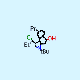 CC[C@@H](Cl)[C@@H]1CN(C(C)(C)C)c2cc(O)c3ccc(C(C)C)cc3c21